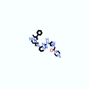 Cc1nn(C2(CC#N)CN(c3cccn4nc(Nc5cnn(CC(=O)N6CCN(C)CC6)c5)nc34)C2)cc1-c1ccccc1